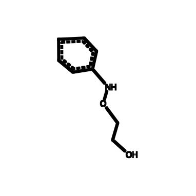 OCCONc1ccccc1